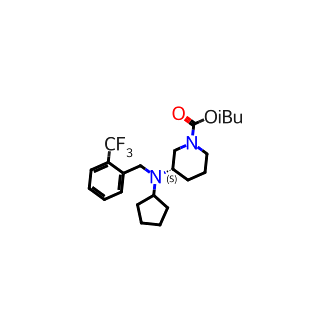 CC(C)COC(=O)N1CCC[C@H](N(Cc2ccccc2C(F)(F)F)C2CCCC2)C1